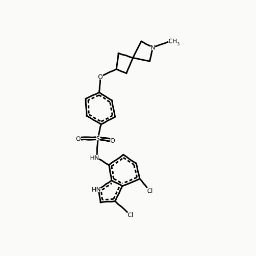 CN1CC2(CC(Oc3ccc(S(=O)(=O)Nc4ccc(Cl)c5c(Cl)c[nH]c45)cc3)C2)C1